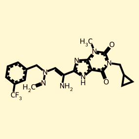 C=NN(/C=C(\N)c1nc2c([nH]1)c(=O)n(CC1CC1)c(=O)n2C)Cc1cccc(C(F)(F)F)c1